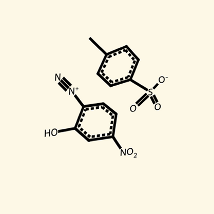 Cc1ccc(S(=O)(=O)[O-])cc1.N#[N+]c1ccc([N+](=O)[O-])cc1O